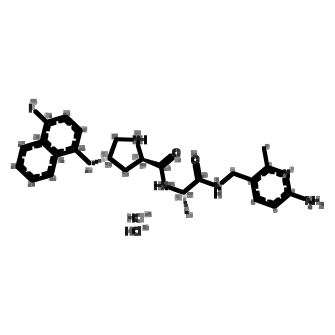 Cc1nc(N)ccc1CNC(=O)[C@H](C)NC(=O)[C@H]1C[C@H](Cc2ccc(F)c3ccccc23)CN1.Cl.Cl